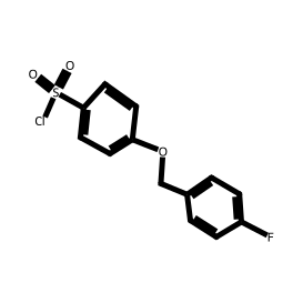 O=S(=O)(Cl)c1ccc(OCc2ccc(F)cc2)cc1